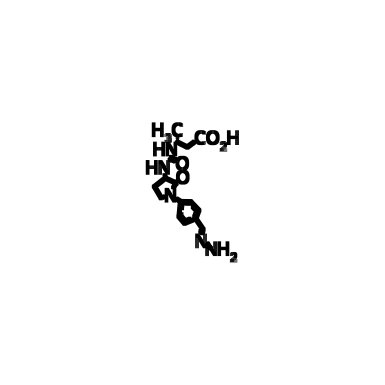 C[C@H](CC(=O)O)NC(=O)NC1CCN(c2ccc(C=NN)cc2)C1=O